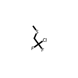 CSCC(F)(F)Cl